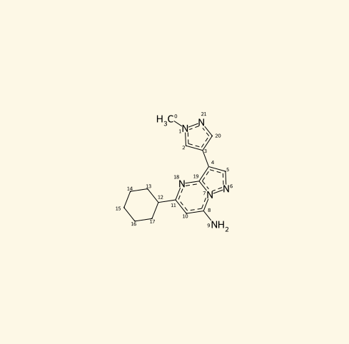 Cn1cc(-c2cnn3c(N)cc(C4CCCCC4)nc23)cn1